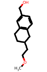 COCCC1CCc2cc(CO)ccc2C1